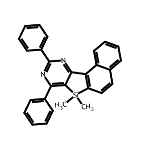 C[Si]1(C)c2ccc3ccccc3c2-c2nc(-c3ccccc3)nc(-c3ccccc3)c21